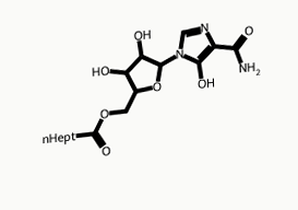 CCCCCCCC(=O)OCC1OC(n2cnc(C(N)=O)c2O)C(O)C1O